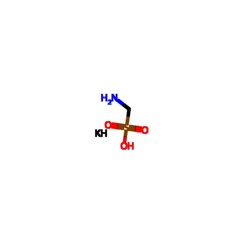 NCS(=O)(=O)O.[KH]